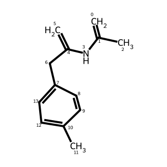 C=C(C)NC(=C)Cc1ccc(C)cc1